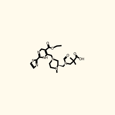 CCOC(=O)C1=C(CN2CCN(C)[C@H](CN(C=O)CC(C)(C)C(=O)O)C2)NC(c2nccs2)=NC1